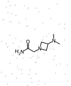 CN(C)C1CN(CC(N)=O)C1